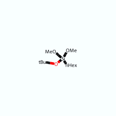 CCCCCC[Si](OC)(OC)OC(C)(C)C